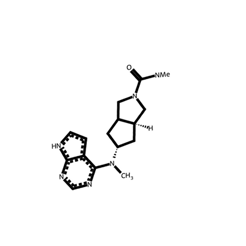 CNC(=O)N1CC2C[C@@H](N(C)c3ncnc4[nH]ccc34)C[C@@H]2C1